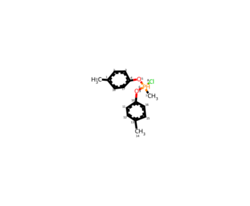 Cc1ccc(O[PH](C)(Cl)Oc2ccc(C)cc2)cc1